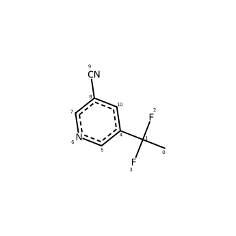 CC(F)(F)c1cncc(C#N)c1